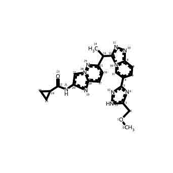 COCc1nc(-c2ccc3nnc(C(C)c4ccc5nc(NC(=O)C6CC6)cn5n4)n3c2)n[nH]1